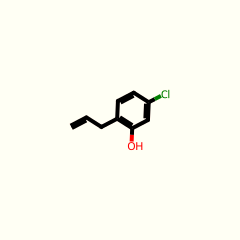 C=CCc1ccc(Cl)cc1O